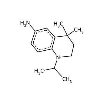 CC(C)N1CCC(C)(C)c2cc(N)ccc21